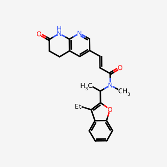 CCc1c(C(C)N(C)C(=O)C=Cc2cnc3c(c2)CCC(=O)N3)oc2ccccc12